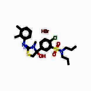 Br.CCCN(CCC)S(=O)(=O)c1cc(C2(O)CS/C(=N/c3cccc(C)c3C)N2C)ccc1Cl